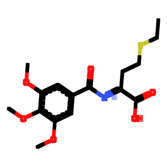 CCSCC/C(=N\C(=O)c1cc(OC)c(OC)c(OC)c1)C(=O)O